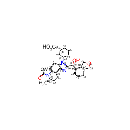 COC(=O)N1c2ccc3c(nc([C@H](O)c4cccc5c4COC5)n3[C@@H]3CCC[C@@H](C(=O)O)C3)c2CC[C@@H]1C